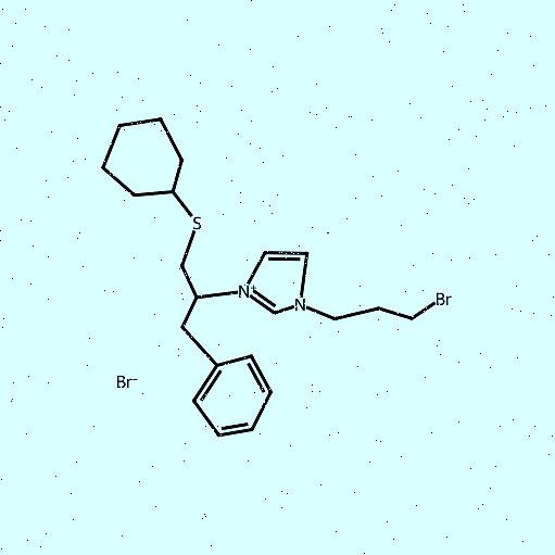 BrCCCn1cc[n+](C(CSC2CCCCC2)Cc2ccccc2)c1.[Br-]